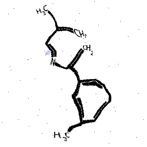 C=C(C)/C=N\C(=C)c1cccc(C)c1